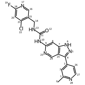 Cc1cc(-c2n[nH]c3cc(NC(=O)NCc4cnc(F)cc4Cl)ncc23)ccn1